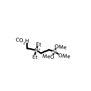 CC[N+](CC)(CC[Si](OC)(OC)OC)CC(=O)O